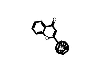 O=c1cc([C]23[CH]4[CH]5[CH]6[CH]2[Fe]56432789[CH]3[CH]2[CH]7[CH]8[CH]39)oc2ccccc12